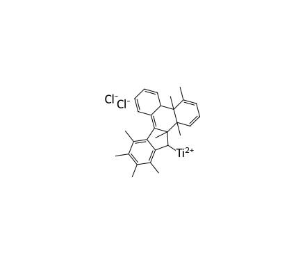 CC1=CC=CC2(C)C1(C)C1C=CC=CC1=C1c3c(C)c(C)c(C)c(C)c3[CH]([Ti+2])C12C.[Cl-].[Cl-]